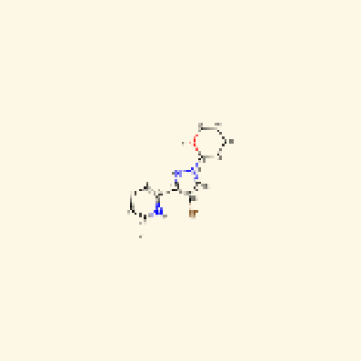 Cc1cccc(-c2nn(C3CCCCO3)cc2Br)n1